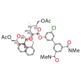 CNC(=O)c1cc(C(=O)NC)cc(-c2cc(Cl)cc(O[C@H]3O[C@H](COC(C)=O)[C@@H](C)[C@H](C[C@H]4O[C@H](COC(C)=O)[C@@H](C)[C@H](C)[C@@H]4OCc4ccccc4)[C@@H]3OCc3ccccc3)c2)c1